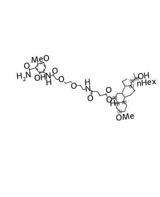 CCCCCC[C@](C)(O)[C@H]1CCC2C3C[C@H](OC(=O)CCC(=O)NCCOCCOCC(=O)Nc4ccc(OC)c(C(N)=O)c4O)[C@H]4C[C@@H](OC)CC[C@]4(C)C3CC[C@@]21C